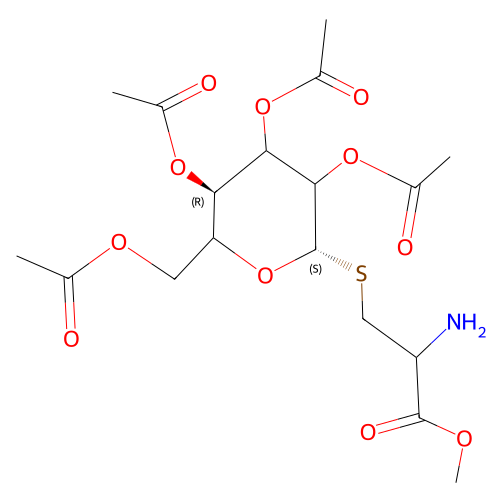 COC(=O)C(N)CS[C@@H]1OC(COC(C)=O)[C@@H](OC(C)=O)C(OC(C)=O)C1OC(C)=O